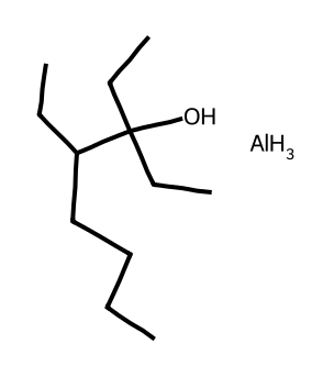 CCCCC(CC)C(O)(CC)CC.[AlH3]